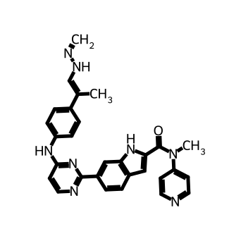 C=NN/C=C(\C)c1ccc(Nc2ccnc(-c3ccc4cc(C(=O)N(C)c5ccncc5)[nH]c4c3)n2)cc1